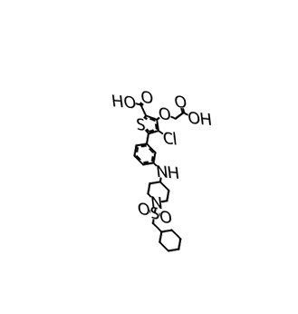 O=C(O)COc1c(C(=O)O)sc(-c2cccc(NC3CCN(S(=O)(=O)CC4CCCCC4)CC3)c2)c1Cl